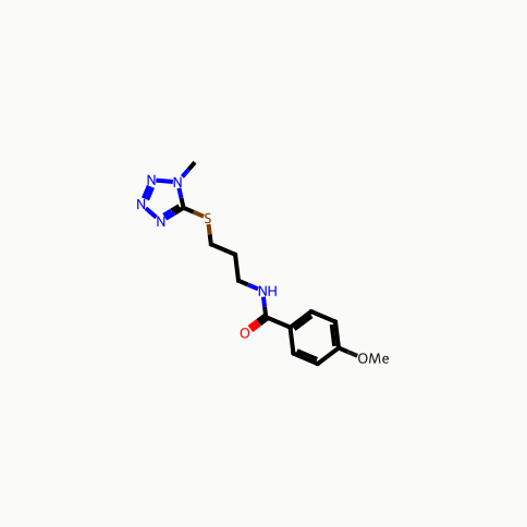 COc1ccc(C(=O)NCCCSc2nnnn2C)cc1